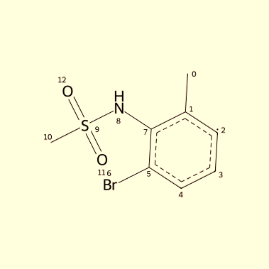 Cc1[c]ccc(Br)c1NS(C)(=O)=O